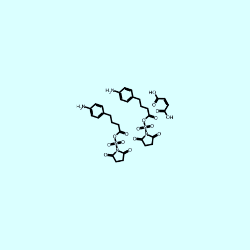 Nc1ccc(CCCC(=O)OS(=O)(=O)N2C(=O)CCC2=O)cc1.Nc1ccc(CCCC(=O)OS(=O)(=O)N2C(=O)CCC2=O)cc1.O=C(O)/C=C\C(=O)O